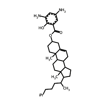 CC(C)CCCC(C)C1CCC2C3CC=C4CC(OC(=O)c5cc(N)cc(N)c5O)CCC4(C)C3CCC12C